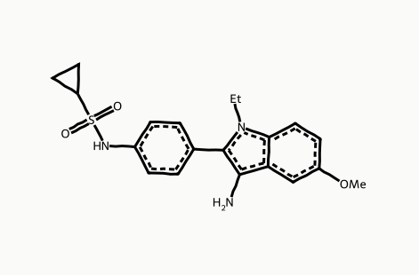 CCn1c(-c2ccc(NS(=O)(=O)C3CC3)cc2)c(N)c2cc(OC)ccc21